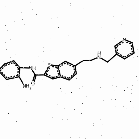 Nc1ccccc1NC(=O)c1cc2ccc(CCNCc3cccnc3)cc2s1